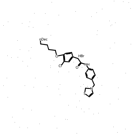 Br.CCCCCCCCCCCCCCOc1ccc(CC(=O)Nc2ccc(CN3C=CSC3)cc2)cc1Cl